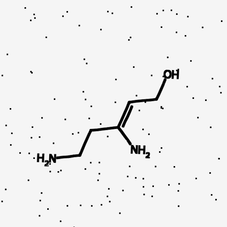 NCCC(N)=CCO